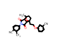 CC12CCC(CCOc3cccc(C#N)c3)(O1)C1C(=O)N(c3ccc(C#N)c(C(F)(F)F)c3)C(=O)C12